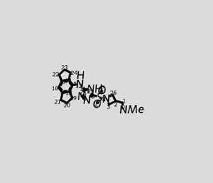 CNCC1CN(S(=O)(=O)c2nnc(Nc3c4c(cc5c3CCC5)CCC4)[nH]2)C1